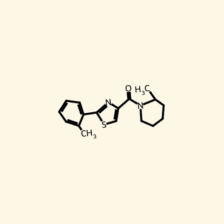 Cc1ccccc1-c1nc(C(=O)N2CCCCC2C)cs1